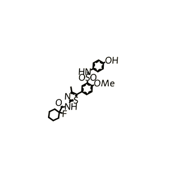 COc1ccc(-c2sc(NC(=O)C3(F)CCCCC3)nc2C)cc1S(=O)(=O)Nc1ccc(O)cc1